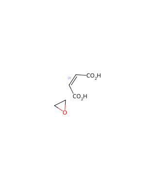 C1CO1.O=C(O)/C=C\C(=O)O